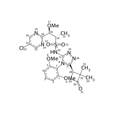 COc1cccc(OC)c1-n1c(NS(=O)(=O)[C@@H](C)[C@H](OC)c2ncc(Cl)cn2)nnc1[C@@H]1CC(=O)C1(C)C